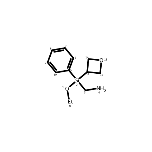 CCO[Si](CN)(c1ccccc1)C1COC1